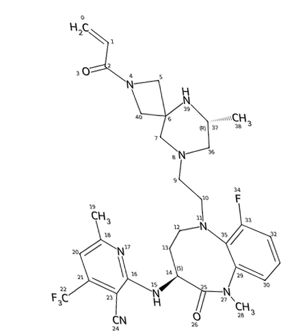 C=CC(=O)N1CC2(CN(CCN3CC[C@H](Nc4nc(C)cc(C(F)(F)F)c4C#N)C(=O)N(C)c4cccc(F)c43)C[C@@H](C)N2)C1